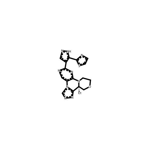 CC[C@@]12COCCN1c1nc(-c3cn[nH]c3-c3nccs3)ncc1-n1cnnc12